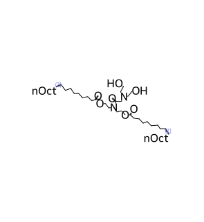 CCCCCCCC/C=C\CCCCCCCC(=O)OCCN(CCOC(=O)CCCCCCC/C=C\CCCCCCCC)C(=O)CN(CCO)CCO